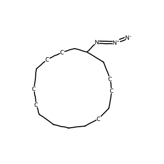 [N-]=[N+]=NC1CCCCCCCCCCCCCCC1